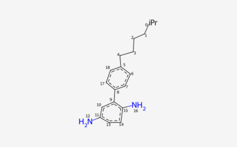 CC(C)CCCCc1ccc(-c2cc(N)ccc2N)cc1